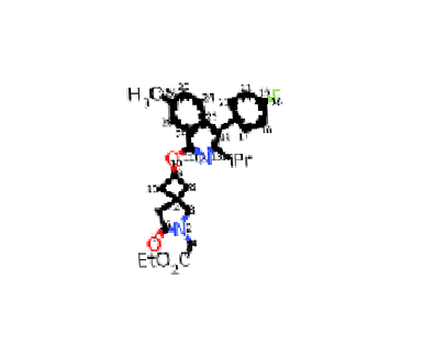 CCOC(=O)CN1CC2(CC1=O)CC(Oc1nc(C(C)C)c(-c3ccc(F)cc3)c3ccc(C)cc13)C2